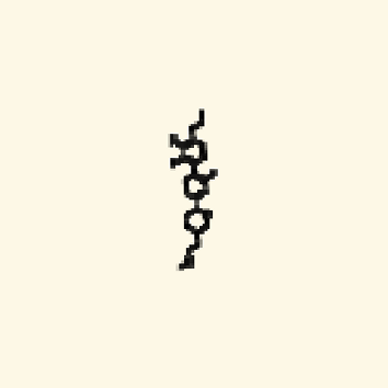 CCCc1ccc(-c2ccc(C3CCC(CCOC)CO3)cc2F)c(F)c1F